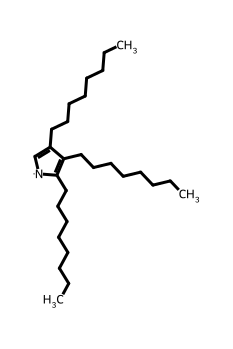 CCCCCCCCC1=C[N]C(CCCCCCCC)=C1CCCCCCCC